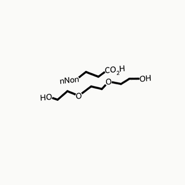 CCCCCCCCCCCC(=O)O.OCCOCCOCCO